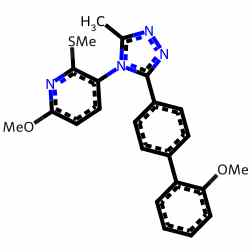 COc1ccc(-n2c(C)nnc2-c2ccc(-c3ccccc3OC)cc2)c(SC)n1